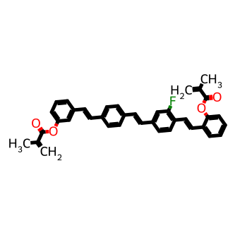 C=C(C)C(=O)Oc1cccc(/C=C/c2ccc(/C=C/c3ccc(/C=C/c4ccccc4OC(=O)C(=C)C)c(F)c3)cc2)c1